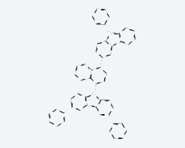 c1ccc(-c2ccc3c(c2)c2cc(-c4ccccc4)ccc2n3-c2ccc(-c3ccc4c(c3)c3ccccc3n4-c3ccccc3)c3ccccc23)cc1